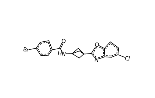 O=C(NC12CC(c3nc4cc(Cl)ccc4o3)(C1)C2)c1ccc(Br)cc1